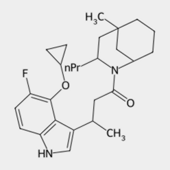 CCCC1CC2(C)CCCC(C2)N1C(=O)CC(C)c1c[nH]c2ccc(F)c(OC3CC3)c12